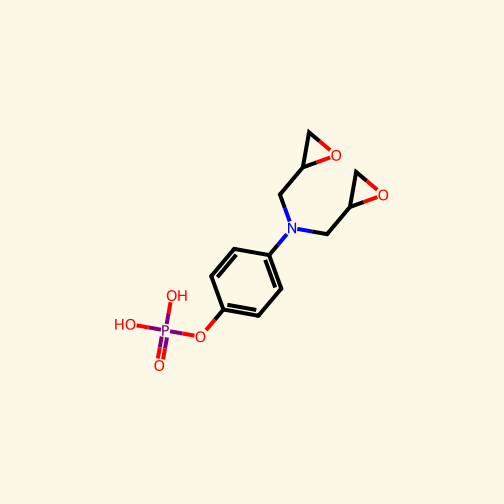 O=P(O)(O)Oc1ccc(N(CC2CO2)CC2CO2)cc1